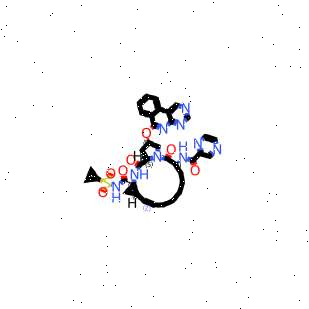 O=C(N[C@H]1CCCCC/C=C\[C@@H]2C[C@@]2(C(=O)NS(=O)(=O)C2CC2)NC(=O)[C@@H]2C[C@@H](Oc3nc4ncncc4c4ccccc34)CN2C1=O)c1cnccn1